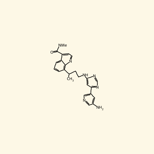 CNC(=O)c1ccnc2c(C(C)CCNc3cc(-c4cncc(N)c4)ncn3)cccc12